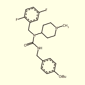 CC(C)COc1ccc(CNC(=O)N(Cc2cc(F)ccc2F)C2CCN(C)CC2)cc1